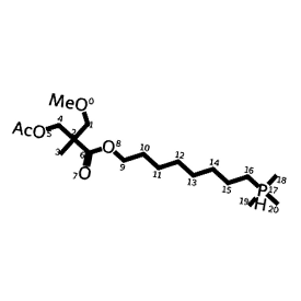 COCC(C)(COC(C)=O)C(=O)OCCCCCCCC[PH](C)(C)C